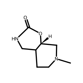 CN1CCC2CNC(=O)O[C@@H]2C1